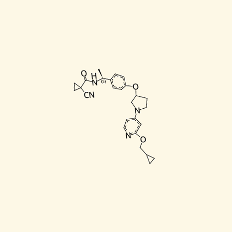 C[C@H](NC(=O)C1(C#N)CC1)c1ccc(OC2CCN(c3ccnc(OCC4CC4)c3)C2)cc1